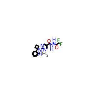 Cc1ccccc1C1(Nc2ncc(C(=O)NNC(=O)C(F)F)cn2)CCC1